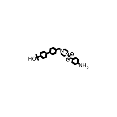 CC(C)(O)c1ccc(-c2ccc(CN3CCN(S(=O)(=O)c4ccc(N)cc4)CC3)cc2)cc1